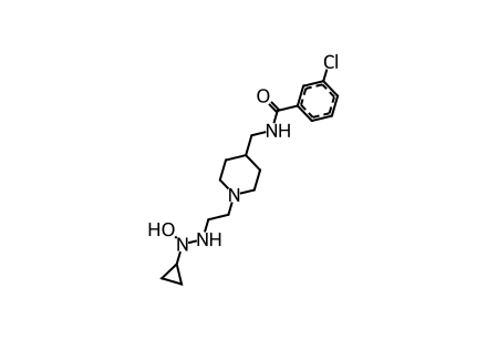 O=C(NCC1CCN(CCNN(O)C2CC2)CC1)c1cccc(Cl)c1